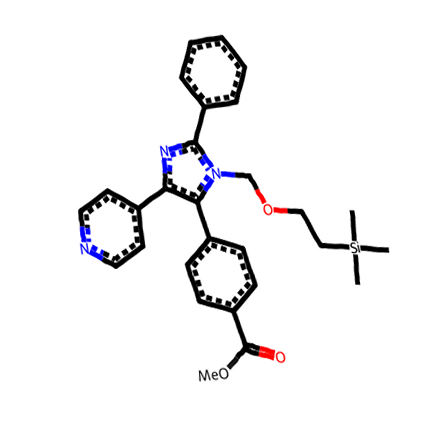 COC(=O)c1ccc(-c2c(-c3ccncc3)nc(-c3ccccc3)n2COCC[Si](C)(C)C)cc1